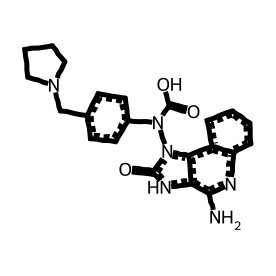 Nc1nc2ccccc2c2c1[nH]c(=O)n2N(C(=O)O)c1ccc(CN2CCCC2)cc1